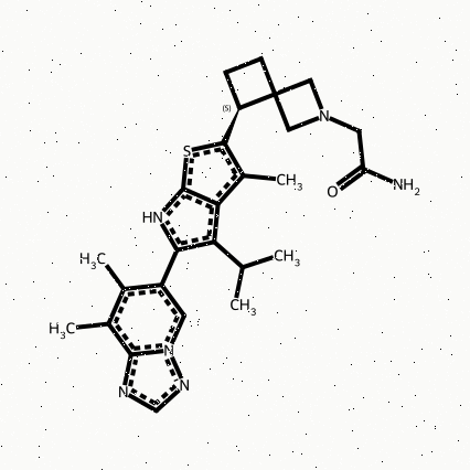 Cc1c(-c2[nH]c3sc([C@H]4CCC45CN(CC(N)=O)C5)c(C)c3c2C(C)C)cn2ncnc2c1C